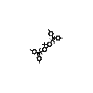 CCC(C)(c1ccc2c(c1)C(C)(C)c1cc([C@](C)(CC)N(c3ccc(C)cc3)c3ccc(C)cc3)ccc1-2)N(c1ccc(C)cc1)c1ccc(C)cc1